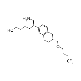 NC[C@H](CCCCO)c1ccc2c(c1)CC[C@@H](COCCCC(F)(F)F)C2